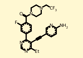 CCc1ncnc(-c2ccc(C(=O)N3CCN(CC(F)(F)F)CC3)c(F)c2)c1C#Cc1ccc(N)nc1